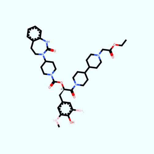 Bc1cc(C[C@@H](OC(=O)N2CCC(N3CCc4ccccc4NC3=O)CC2)C(=O)N2CCC(C3CCN(CC(=O)OCC)CC3)CC2)cc(BC)c1O